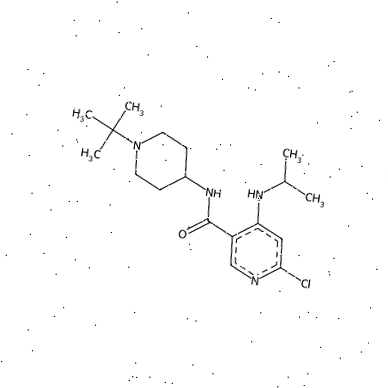 CC(C)Nc1cc(Cl)ncc1C(=O)NC1CCN(C(C)(C)C)CC1